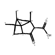 CC12CC3C(=O)C(C(=O)O)C4(C)C1(C)C324